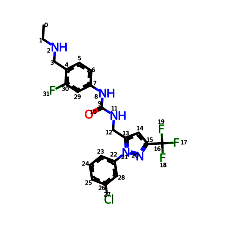 CCNCc1ccc(NC(=O)NCc2cc(C(F)(F)F)nn2-c2cccc(Cl)c2)cc1F